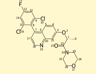 C[C@@H](Oc1ccc2c(-c3c(Cl)cc(F)cc3Cl)ccnc2c1)C(=O)N1CCOCC1